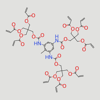 C=CC(=O)OCC(COC(=O)C=C)(COC(=O)C=C)COC(=O)Nc1cc(NC(=O)OCC(COC(=O)C=C)(COC(=O)C=C)COC(=O)C=C)c(C)c(NC(=O)OCC(COC(=O)C=C)(COC(=O)C=C)COC(=O)C=C)c1